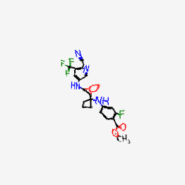 COC(=O)c1ccc(NC2(C3OC3Nc3cnc(C#N)c(C(F)(F)F)c3)CCC2)cc1F